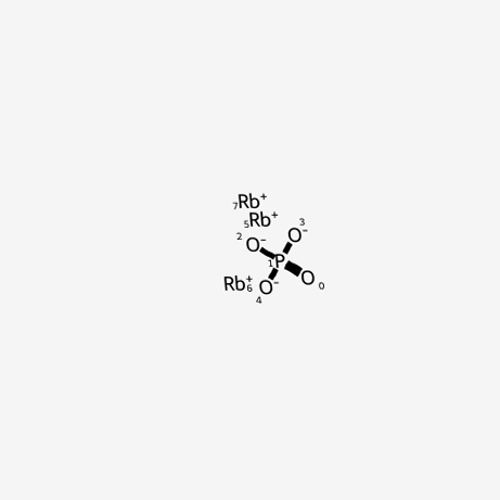 O=P([O-])([O-])[O-].[Rb+].[Rb+].[Rb+]